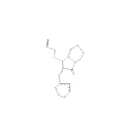 C=CCNC1/C(=C/c2ccccc2)C(=O)c2ccccc21